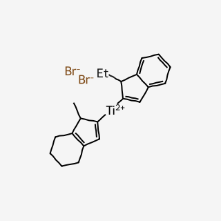 CCC1[C]([Ti+2][C]2=CC3=C(CCCC3)C2C)=Cc2ccccc21.[Br-].[Br-]